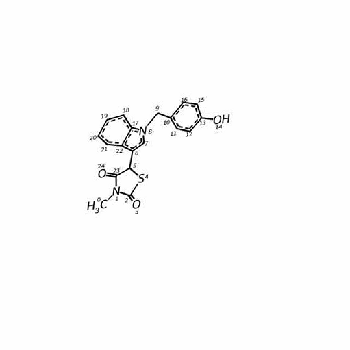 CN1C(=O)SC(c2cn(Cc3ccc(O)cc3)c3ccccc23)C1=O